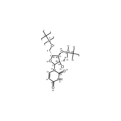 CC(C)(C)[Si](C)(C)OC[C@H]1OC(n2ccc(=O)[nH]c2=O)[C@](F)(Cl)[C@@H]1O[Si](C)(C)C(C)(C)C